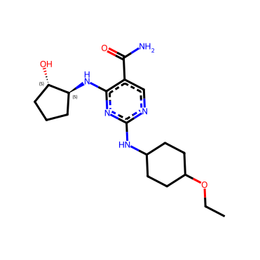 CCOC1CCC(Nc2ncc(C(N)=O)c(N[C@H]3CCC[C@@H]3O)n2)CC1